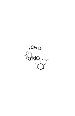 C[C@H]1C=C2C=C[C@H](C)[C@H](CC[C@@H]3C[C@H](CC=O)OC(C)(C)O3)C2[C@@H](O)C1